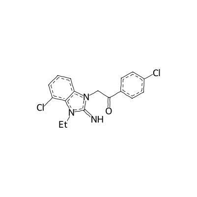 CCn1c(=N)n(CC(=O)c2ccc(Cl)cc2)c2cccc(Cl)c21